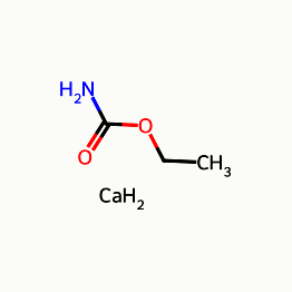 CCOC(N)=O.[CaH2]